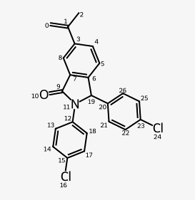 C=C(C)c1ccc2c(c1)C(=O)N(c1ccc(Cl)cc1)C2c1ccc(Cl)cc1